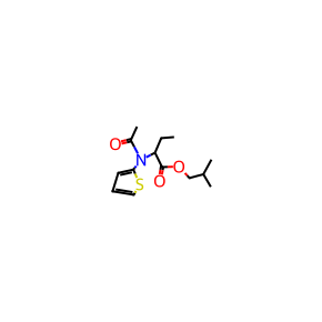 CCC(C(=O)OCC(C)C)N(C(C)=O)c1cccs1